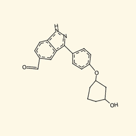 O=Cc1ccc2[nH]nc(-c3ccc(OC4CCCC(O)C4)cc3)c2c1